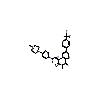 CN1CCN(c2ccc(N/C=C3\C(=O)NC(=O)c4ccc(-c5ccc(C(F)(F)F)cc5)cc43)cc2)CC1